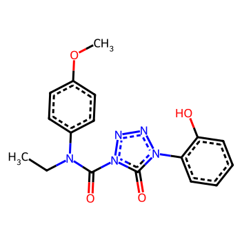 CCN(C(=O)n1nnn(-c2ccccc2O)c1=O)c1ccc(OC)cc1